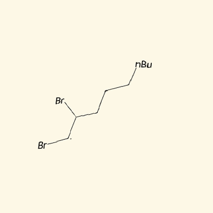 CCCCCCCC(Br)[CH]Br